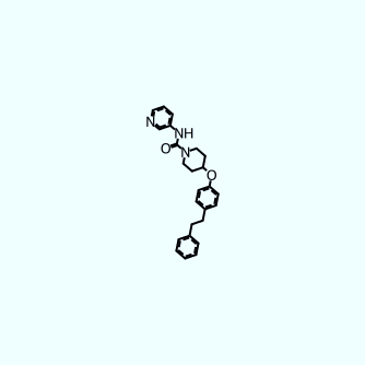 O=C(Nc1cccnc1)N1CCC(Oc2ccc(CCc3ccccc3)cc2)CC1